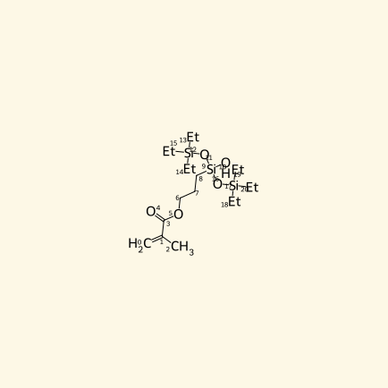 C=C(C)C(=O)OCCC[Si](O)(O[Si](CC)(CC)CC)O[Si](CC)(CC)CC